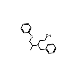 CC(COc1ccccc1)N(CCO)Cc1ccccc1